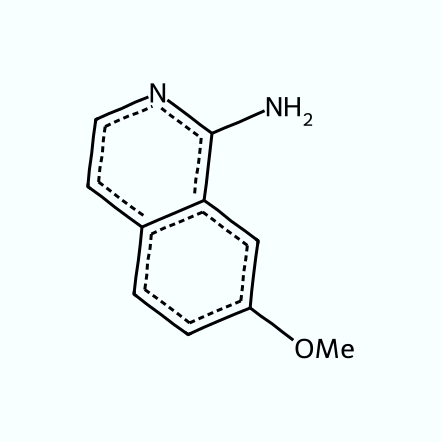 COc1ccc2ccnc(N)c2c1